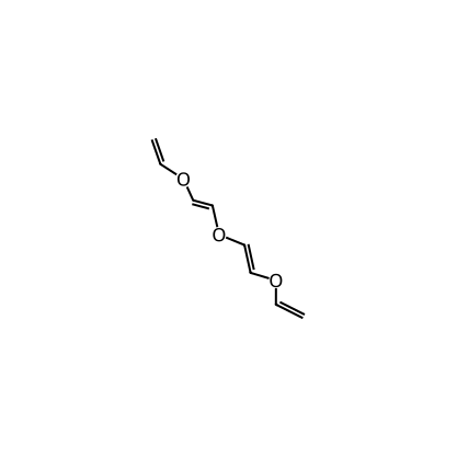 C=COC=COC=COC=C